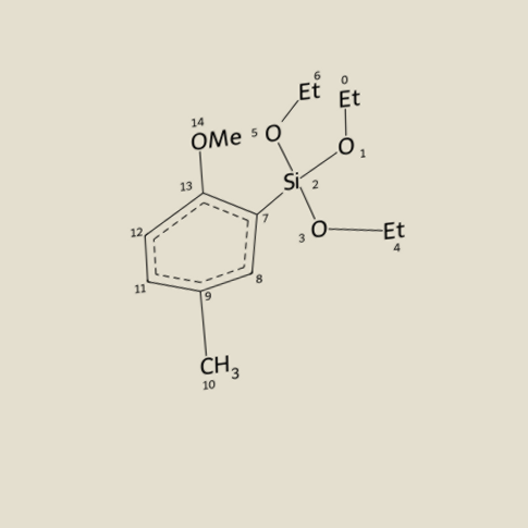 CCO[Si](OCC)(OCC)c1cc(C)ccc1OC